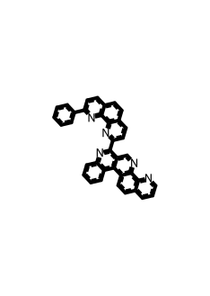 c1ccc(-c2ccc3ccc4ccc(-c5nc6ccccc6c6c5cnc5c6ccc6cccnc65)nc4c3n2)cc1